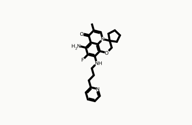 Cc1cn2c3c(c(NCCCc4ccccn4)c(F)c(N)c3c1=O)OCC21CCCC1